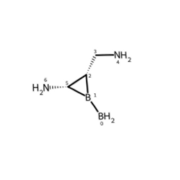 BB1[C@@H](CN)[C@H]1N